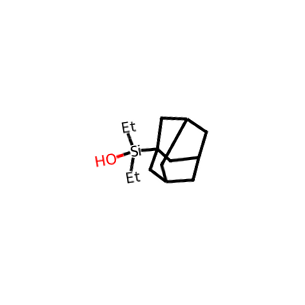 CC[Si](O)(CC)C12CC3CC(CC(C3)C1)C2